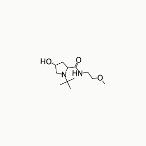 COCCNC(=O)C1CC(O)CN1C(C)(C)C